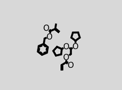 C=C(C)C(=O)OCc1ccccc1.C=CC(=O)OCC(OC1CCCC1)OC1CCCC1